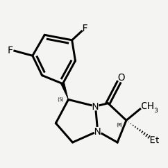 CC[C@]1(C)CN2CC[C@@H](c3cc(F)cc(F)c3)N2C1=O